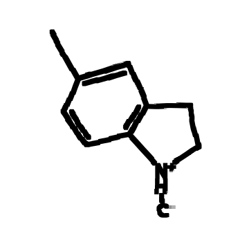 [CH2-][NH+]1CCc2cc(C)ccc21